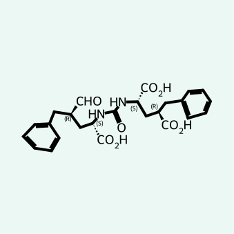 O=C[C@H](Cc1ccccc1)C[C@H](NC(=O)N[C@@H](C[C@@H](Cc1ccccc1)C(=O)O)C(=O)O)C(=O)O